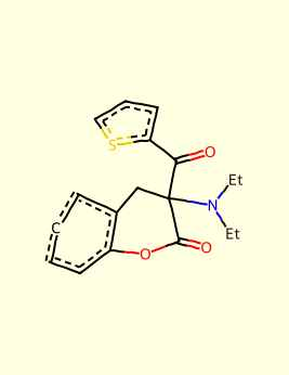 CCN(CC)C1(C(=O)c2cccs2)Cc2ccccc2OC1=O